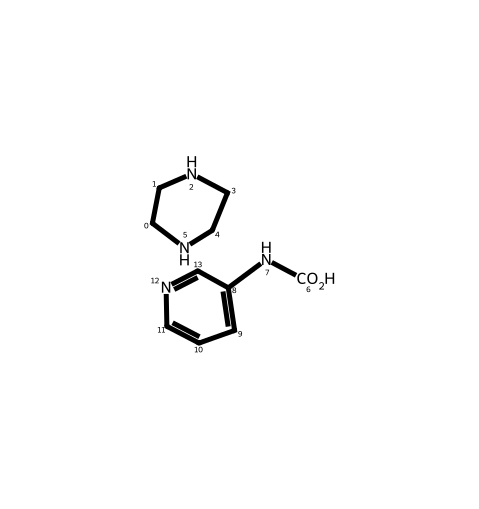 C1CNCCN1.O=C(O)Nc1cccnc1